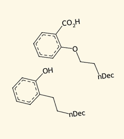 CCCCCCCCCCCCOc1ccccc1C(=O)O.CCCCCCCCCCCCc1ccccc1O